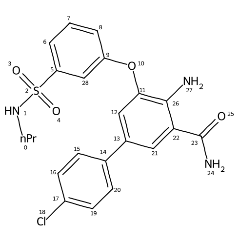 CCCNS(=O)(=O)c1cccc(Oc2cc(-c3ccc(Cl)cc3)cc(C(N)=O)c2N)c1